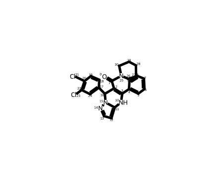 O=C(C1=C(c2ccccc2)Nc2ccnn2C1c1ccc(Cl)c(Cl)c1)N1CCCCC1